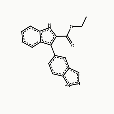 CCOC(=O)c1[nH]c2cc[c]cc2c1-c1ccc2[nH]ncc2c1